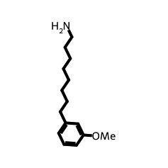 COc1cccc(CCCCCCCCN)c1